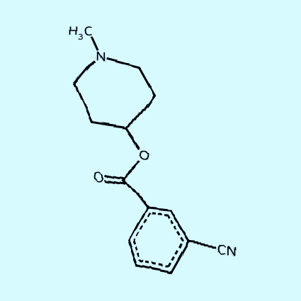 CN1CCC(OC(=O)c2cccc(C#N)c2)CC1